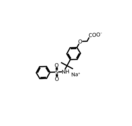 CC(C)(NS(=O)(=O)c1ccccc1)c1ccc(OCC(=O)[O-])cc1.[Na+]